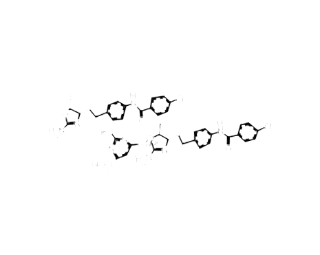 COc1cc(C(=O)O)nc(C(C)C)n1.C[C@@H]1OC(N)=N[C@H]1CCc1ccc(NC(=O)c2ccc(Cl)cc2)cc1.C[C@H]1OC(N)=N[C@H]1CCc1ccc(NC(=O)c2ccc(Cl)cc2)cc1